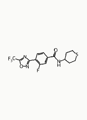 O=C(NC1CCSCC1)c1ccc(-c2noc(C(F)(F)F)n2)c(F)c1